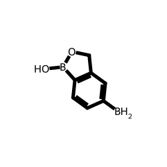 Bc1ccc2c(c1)COB2O